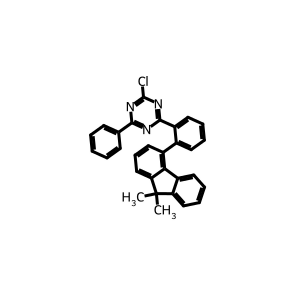 CC1(C)c2ccccc2-c2c(-c3ccccc3-c3nc(Cl)nc(-c4ccccc4)n3)cccc21